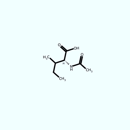 CCC(C)[C@@H](NC(C)=O)C(=O)O